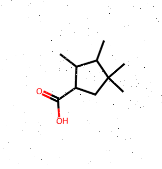 CC1C(C(=O)O)CC(C)(C)C1C